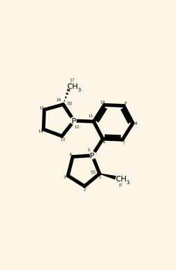 C[C@H]1CCCP1c1ccccc1P1CCC[C@@H]1C